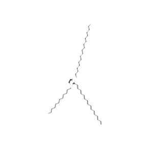 CCCCCCCCCCCCCCCCCCC[n+]1ccn(CCCCCCCCCCCC)c1CCCCCCCCCCCCCCCC